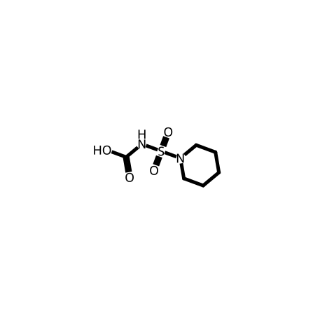 O=C(O)NS(=O)(=O)N1CCCCC1